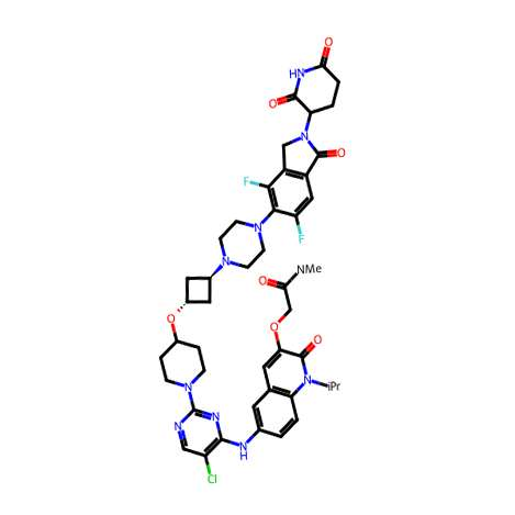 CNC(=O)COc1cc2cc(Nc3nc(N4CCC(O[C@H]5C[C@H](N6CCN(c7c(F)cc8c(c7F)CN(C7CCC(=O)NC7=O)C8=O)CC6)C5)CC4)ncc3Cl)ccc2n(C(C)C)c1=O